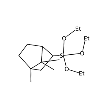 CCO[Si](OCC)(OCC)C1CC2(C)CCC1C2(C)C